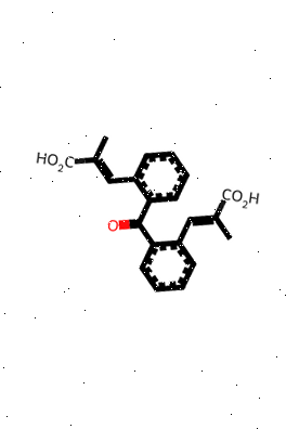 CC(=Cc1ccccc1C(=O)c1ccccc1C=C(C)C(=O)O)C(=O)O